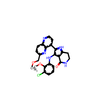 COCc1ccc2nccc(-c3[nH]c4c(c3Nc3cccc(Cl)c3OC)C(=O)NCC4)c2n1